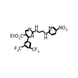 CCOC(=O)c1cnc(NCCNc2ccc([N+](=O)[O-])cn2)nc1-c1cc(C(F)(F)F)cc(C(F)(F)F)c1